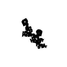 CCCNC(=O)C(F)(F)C(O)C(C(C)C)N(C(=O)CNC(=O)[C@@H](NC(=O)OCc1ccccc1)C(C)C)C1CCCC1